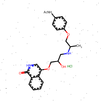 CC(=O)Nc1ccc(OCC(C)NCC(O)COc2c[nH]c(=O)c3ccccc23)cc1.Cl